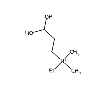 CC[N+](C)(C)CCC(O)O